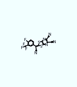 N#CC(=C1Sc2nc(C#N)c(C#N)nc2S1)c1ccc(F)c(C(F)(F)F)c1